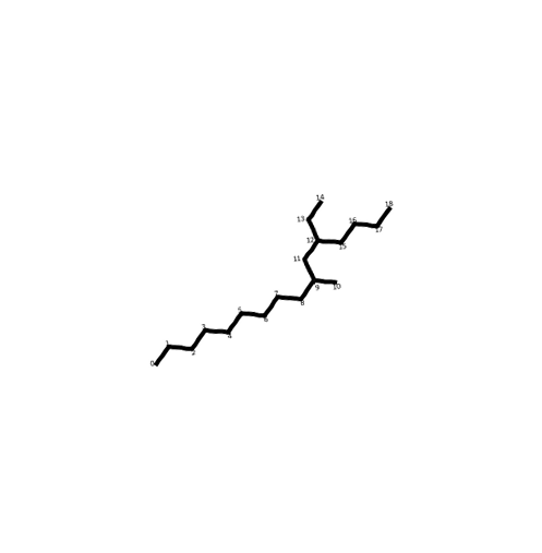 CCCCCCCCC[C](C)CC(CC)CCCC